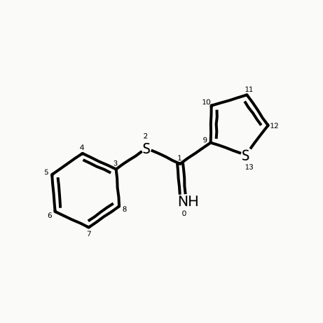 N=C(Sc1ccccc1)c1cccs1